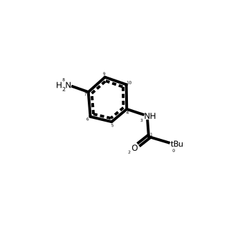 CC(C)(C)C(=O)Nc1ccc(N)cc1